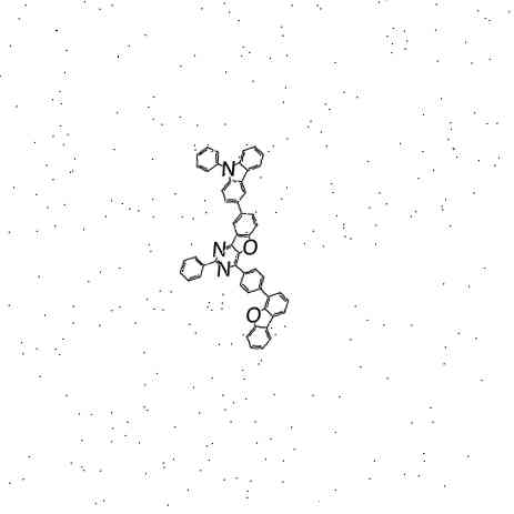 c1ccc(-c2nc(-c3ccc(-c4cccc5c4oc4ccccc45)cc3)c3oc4ccc(-c5ccc6c(c5)c5ccccc5n6-c5ccccc5)cc4c3n2)cc1